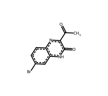 CC(=O)c1nc2ccc(Br)cc2[nH]c1=O